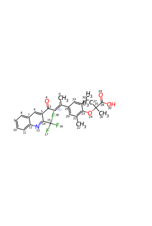 C/C(=C\C(=O)c1cc2ccccc2nc1C(F)(F)F)c1cc(C)c(OC(C)(C)C(=O)O)c(C)c1